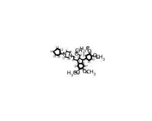 COCC1C(CCN2CCN(c3ccccc3)CC2)c2cc(OC)c(OC)cc2C1c1ccc(OC)c(OC)c1